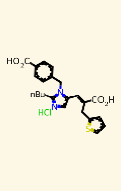 CCCCc1ncc(C=C(Cc2cccs2)C(=O)O)n1Cc1ccc(C(=O)O)cc1.Cl